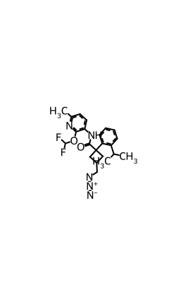 Cc1ccc(NC(=O)C2(c3ccccc3C(C)C)CC(CN=[N+]=[N-])C2)c(OC(F)F)n1